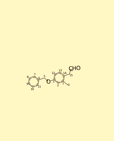 Cc1cc(OCc2ccccc2)ccc1CC=O